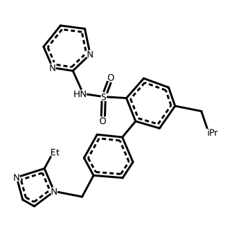 CCc1nccn1Cc1ccc(-c2cc(CC(C)C)ccc2S(=O)(=O)Nc2ncccn2)cc1